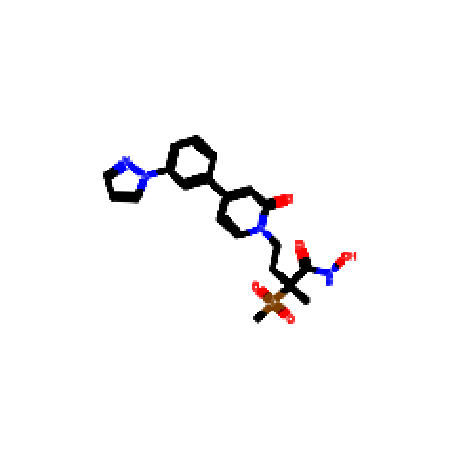 CC(CCn1ccc(-c2cccc(-n3cccn3)c2)cc1=O)(C(=O)NO)S(C)(=O)=O